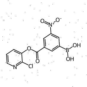 O=C(Oc1cccnc1Cl)c1cc(B(O)O)cc([N+](=O)[O-])c1